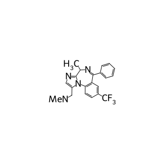 CNCc1cnc2n1-c1ccc(C(F)(F)F)cc1C(c1ccccc1)=NC2C